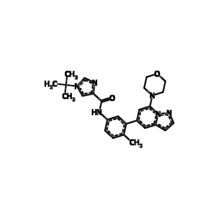 Cc1ccc(NC(=O)c2cn(C(C)(C)C)cn2)cc1-c1cc(N2CCOCC2)n2nccc2c1